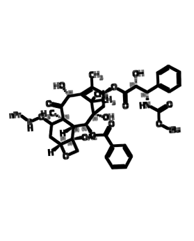 CCCBOC1C[C@H]2OC[C@@]2(OC(C)=O)[C@H]2[C@H](OC(=O)c3ccccc3)[C@]3(O)C[C@H](OC(=O)[C@H](O)[C@@H](NC(=O)OC(C)(C)C)c4ccccc4)C(C)=C([C@@H](O)C(=O)[C@]12C)C3(C)C